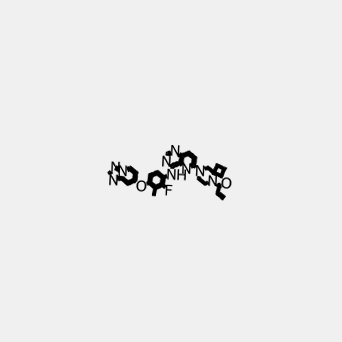 C=CC(=O)N1CCN(c2ccc3ncnc(Nc4ccc(Oc5ccn6ncnc6c5)c(C)c4F)c3n2)CC12CCC2